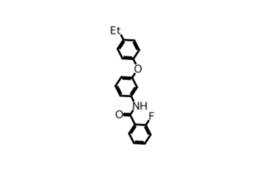 CCc1ccc(Oc2cccc(NC(=O)c3ccccc3F)c2)cc1